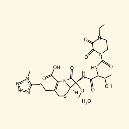 CCN1CCN(C(=O)NC(C(=O)N[C@]2(OC)C(=O)N3C(C(=O)O)=C(CSc4nnnn4C)CS[C@@H]32)C(C)O)C(=O)C1=O.O